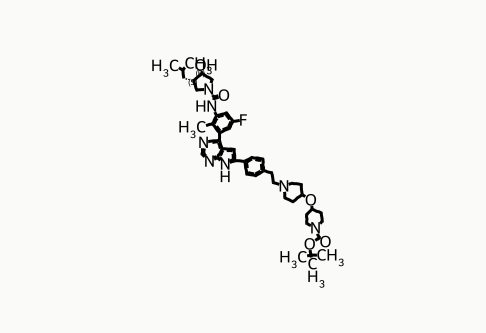 Cc1c(NC(=O)N2C[C@H](CC(C)C)[C@@H](O)C2)cc(F)cc1-c1ncnc2[nH]c(-c3ccc(CCN4CCC(OC5CCN(C(=O)OC(C)(C)C)CC5)CC4)cc3)cc12